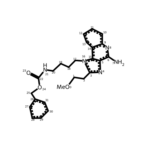 COCCc1nc2c(N)nc3ccccc3c2n1CCCCNC(=O)OCc1ccccc1